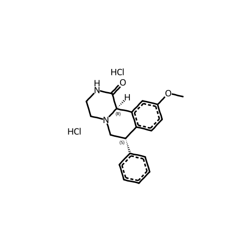 COc1ccc2c(c1)[C@@H]1C(=O)NCCN1C[C@H]2c1ccccc1.Cl.Cl